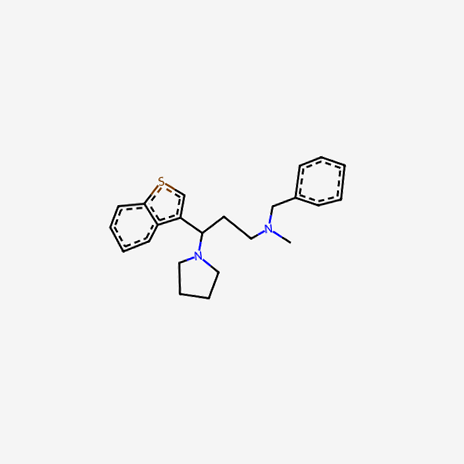 CN(CCC(c1csc2ccccc12)N1CCCC1)Cc1ccccc1